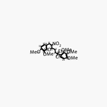 CCC(C#N)(CCC(O)C(Cc1ccc(OC)c(OC)c1)[N+](=O)[O-])c1ccc(OC)c(OC)c1OC